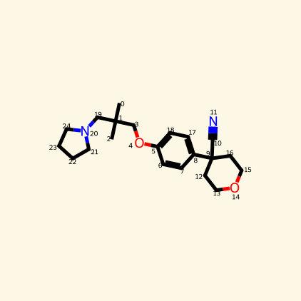 CC(C)(COc1ccc(C2(C#N)CCOCC2)cc1)CN1CCCC1